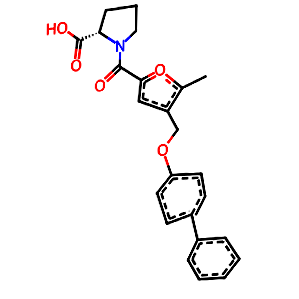 Cc1oc(C(=O)N2CCC[C@H]2C(=O)O)cc1COc1ccc(-c2ccccc2)cc1